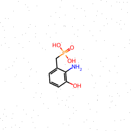 Nc1c(O)cccc1CP(=O)(O)O